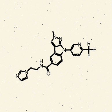 Cn1cc2c3cc(C(=O)NCCn4ccnc4)ccc3n(-c3ccc(C(F)(F)F)nc3)c2n1